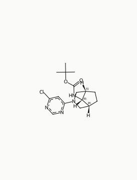 CC(C)(C)OC(=O)N[C@H]1[C@@H]2CC[C@H]1CN(c1cc(Cl)ncn1)C2